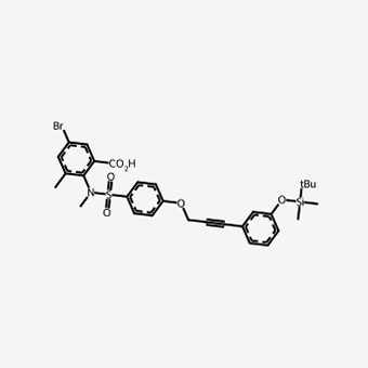 Cc1cc(Br)cc(C(=O)O)c1N(C)S(=O)(=O)c1ccc(OCC#Cc2cccc(O[Si](C)(C)C(C)(C)C)c2)cc1